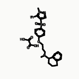 CC(C)c1c(S(=O)(=O)c2ccc(OCCCN(C)C3CCCc4ccccc43)cc2)cnn1C.O=C(O)C(=O)O